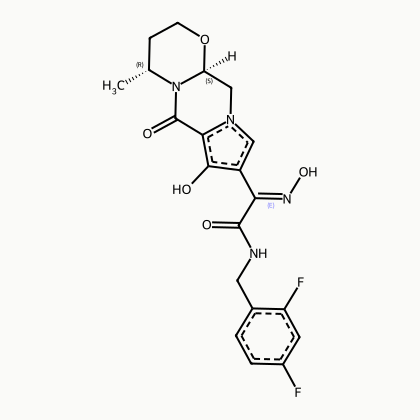 C[C@@H]1CCO[C@H]2Cn3cc(/C(=N\O)C(=O)NCc4ccc(F)cc4F)c(O)c3C(=O)N12